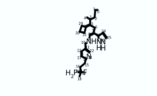 CCCC(C)C(C/C(=C/NCc1ccc(CCC(C)(F)P)nc1)C1C=CNN1)=C1CCC1